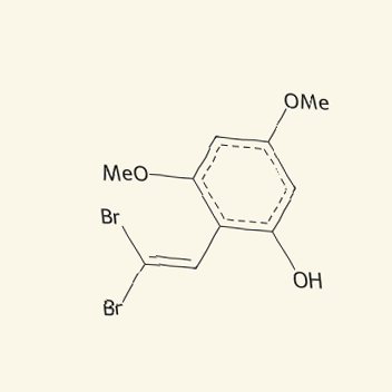 COc1cc(O)c(C=C(Br)Br)c(OC)c1